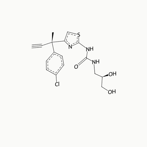 C#C[C@@](C)(c1ccc(Cl)cc1)c1csc(NC(=O)NC[C@@H](O)CO)n1